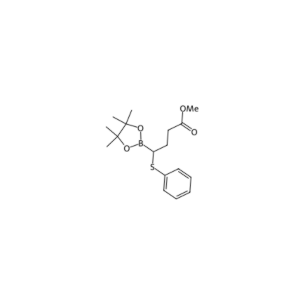 COC(=O)CCC(Sc1ccccc1)B1OC(C)(C)C(C)(C)O1